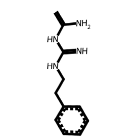 C=C(N)NC(=N)NCCc1ccccc1